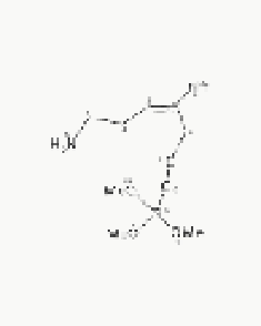 CCCC(=CCCN)CCC[Si](OC)(OC)OC